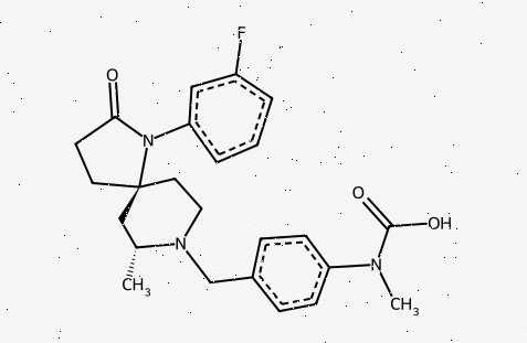 C[C@@H]1C[C@]2(CCC(=O)N2c2cccc(F)c2)CCN1Cc1ccc(N(C)C(=O)O)cc1